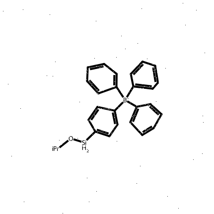 CC(C)O[SiH2]c1ccc([B-](c2ccccc2)(c2ccccc2)c2ccccc2)cc1